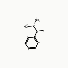 CC(c1ccccc1)[C@@H](N)O